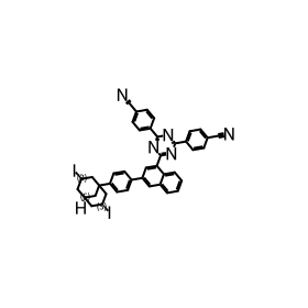 N#Cc1ccc(-c2nc(-c3ccc(C#N)cc3)nc(-c3cc(-c4ccc(C56C[C@H](I)C[C@H](C[C@H](I)C5)C6)cc4)cc4ccccc34)n2)cc1